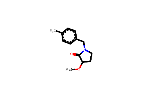 CSOC1CCN(Cc2ccc(C)cc2)C1=O